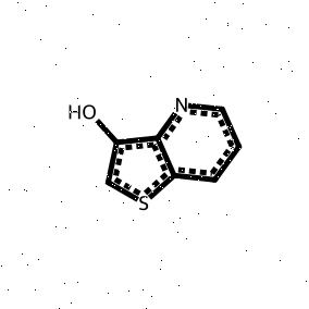 Oc1csc2cccnc12